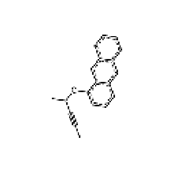 CC#CC(C)Oc1cccc2cc3ccccc3cc12